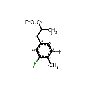 CCOC(=O)C(C)Cc1cc(F)c(C)c(F)c1